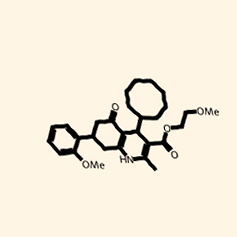 COCCOC(=O)C1=C(C)NC2=C(C(=O)CC(c3ccccc3OC)C2)C1C1CCCCCCC1